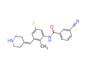 Cc1c(C=C2CCNCC2)cc(F)cc1NC(=O)c1cccc(C#N)c1